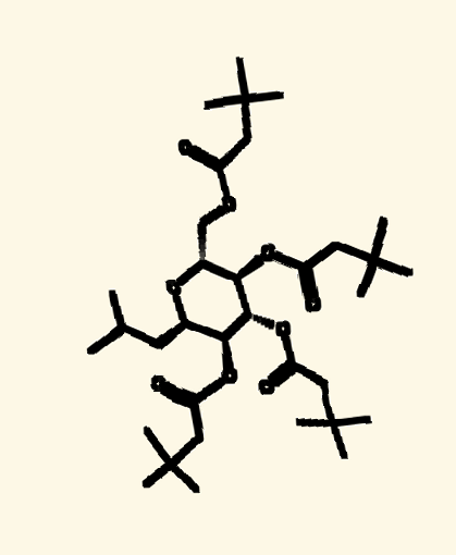 CC(C)C[C@H]1O[C@H](COC(=O)CC(C)(C)C)[C@@H](OC(=O)CC(C)(C)C)[C@H](OC(=O)CC(C)(C)C)[C@H]1OC(=O)CC(C)(C)C